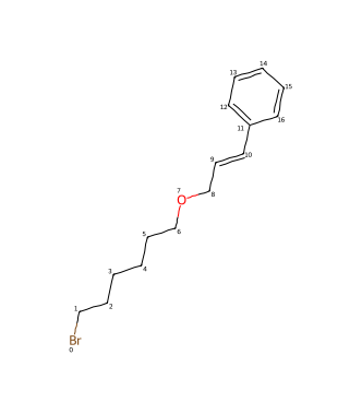 BrCCCCCCOCC=Cc1ccccc1